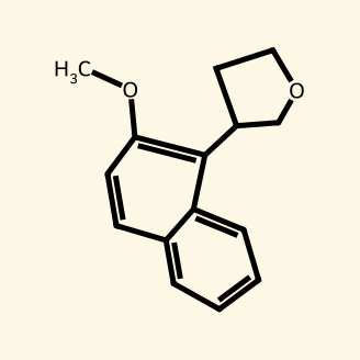 COc1ccc2ccccc2c1C1CCOC1